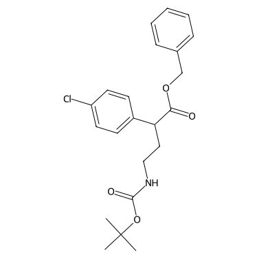 CC(C)(C)OC(=O)NCCC(C(=O)OCc1ccccc1)c1ccc(Cl)cc1